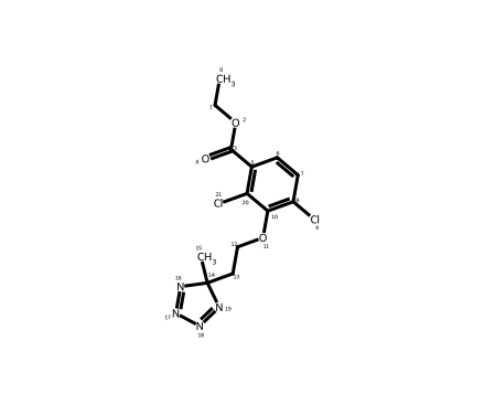 CCOC(=O)c1ccc(Cl)c(OCCC2(C)N=NN=N2)c1Cl